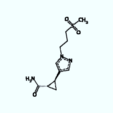 CS(=O)(=O)CCCn1cc([C@H]2C[C@@H]2C(N)=O)cn1